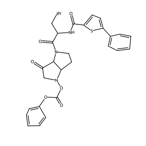 CC(C)CC(NC(=O)c1ccc(-c2ccccc2)s1)C(=O)N1CCC2C1C(=O)CN2OC(=O)Oc1ccccc1